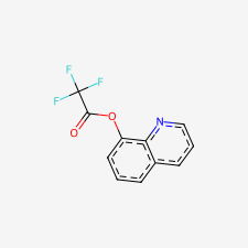 O=C(Oc1cccc2cccnc12)C(F)(F)F